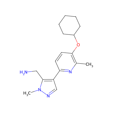 Cc1nc(-c2cnn(C)c2CN)ccc1OC1CCCCC1